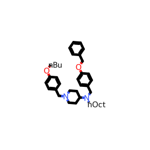 CCCCCCCCN(Cc1ccc(OCc2ccccc2)cc1)C1CCN(Cc2ccc(OCCCC)cc2)CC1